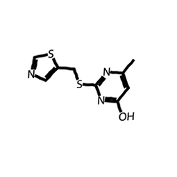 Cc1cc(O)nc(SCc2cncs2)n1